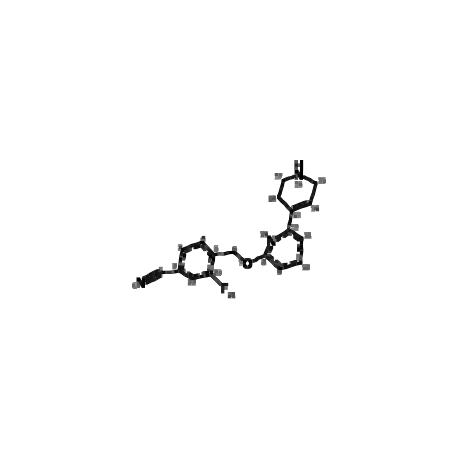 N#Cc1ccc(COc2cccc(C3=CCNCC3)n2)c(F)c1